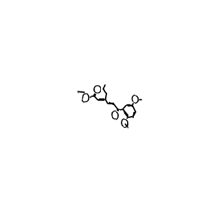 CCCC(/C=C/C(=O)c1cc(OC)ccc1OC)=C\C(=O)OCC